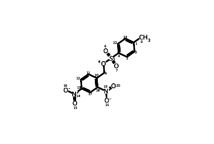 Cc1ccc(S(=O)(=O)OCc2ccc([N+](=O)[O-])cc2[N+](=O)[O-])cc1